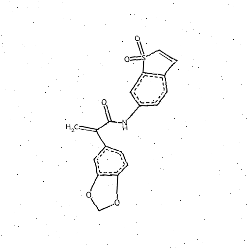 C=C(C(=O)Nc1ccc2c(c1)S(=O)(=O)C=C2)c1ccc2c(c1)OCO2